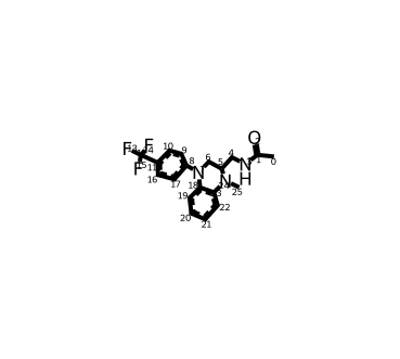 CC(=O)NCC1CN(c2ccc(C(F)(F)F)cc2)c2ccccc2N1C